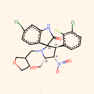 O=C1Nc2cc(Cl)ccc2[C@@]12[C@@H](c1cccc(Cl)c1F)[C@H]([N+](=O)[O-])[C@H](CO)N2CC1CCOC1